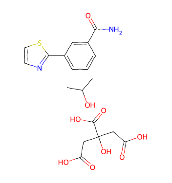 CC(C)O.NC(=O)c1cccc(-c2nccs2)c1.O=C(O)CC(O)(CC(=O)O)C(=O)O